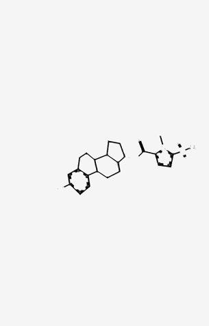 Cn1c(C(=O)O[C@H]2CCC3C4CCc5cc(O)ccc5C4CC[C@@]32C)ccc1S(N)(=O)=O